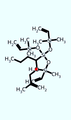 C=C[Si](C)(C)O[Si](O[Si](C)(C)C=C)(O[Si](C)(C)C=C)C(CCC)OCC(=C)C